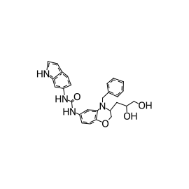 O=C(Nc1ccc2c(c1)N(Cc1ccccc1)C(CC(O)CO)CO2)Nc1ccc2cc[nH]c2c1